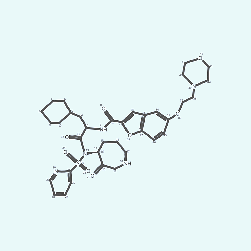 O=C(NC(CC1CCCCC1)C(=O)N([C@H]1CCCNCC1=O)S(=O)(=O)c1ccccn1)c1cc2cc(OCCN3CCOCC3)ccc2o1